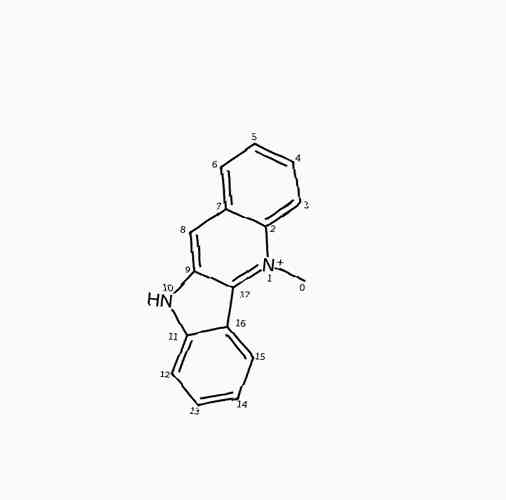 C[n+]1c2ccccc2cc2[nH]c3ccccc3c21